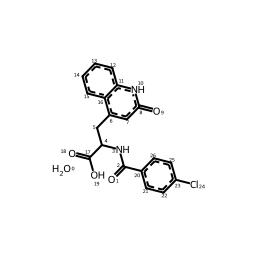 O.O=C(NC(Cc1cc(=O)[nH]c2ccccc12)C(=O)O)c1ccc(Cl)cc1